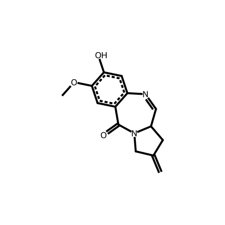 C=C1CC2C=Nc3cc(O)c(OC)cc3C(=O)N2C1